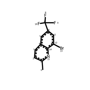 Cc1ccc2cc(C(F)(F)F)cc(Br)c2n1